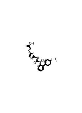 CC1CCC(c2cccnc2N(C)C(=O)Nc2ncc(SCC(=O)O)s2)CC1